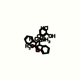 CC1=Cc2ccccc2[CH]1[Zr]([CH3])([CH3])(=[SiH2])[CH]1C(C)=Cc2ccccc21.Cl.Oc1ccccc1